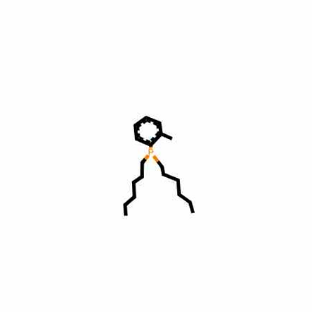 CCCCCCP(CCCCCC)c1ccccc1C